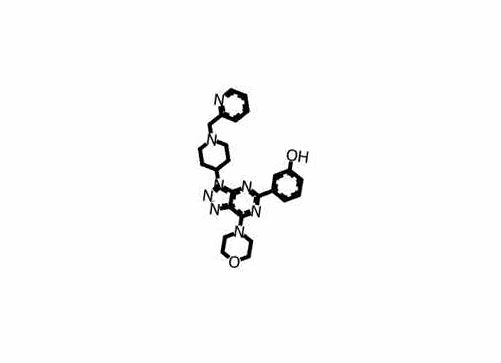 Oc1cccc(-c2nc(N3CCOCC3)c3nnn(C4CCN(Cc5ccccn5)CC4)c3n2)c1